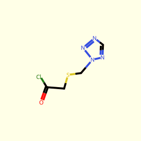 O=C(Cl)CSCn1ncnn1